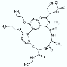 C[C@@H]1NC(=O)[C@@H](N(C)C(=O)[C@H](CO)NC(=O)Cl)c2ccc(OCCN)c(c2)-c2cc(ccc2OCCN)C[C@@H](C(=O)NCC#N)NC1=O